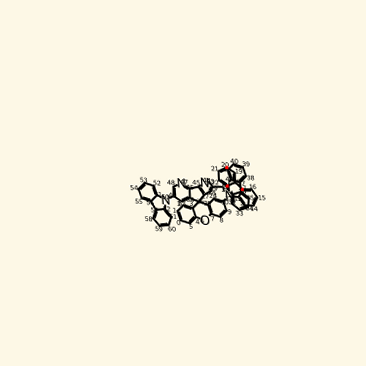 c1ccc2c(c1)Oc1ccc(-n3c4ccccc4c4ccccc43)cc1C21c2cc(-n3c4ccccc4c4ccccc43)cnc2-c2ncc(-n3c4ccccc4c4ccccc43)cc21